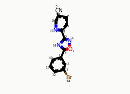 N#Cc1ccc(-c2noc(-c3cccc(Br)c3)n2)nc1